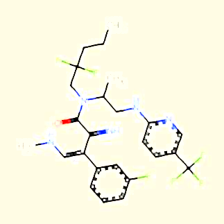 CCCC(F)(F)CN(C(=O)C(=N)/C(=C\NC)c1cccc(F)c1)C(C)CNc1ccc(C(F)(F)F)cn1